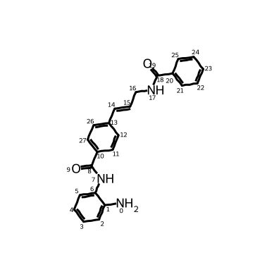 Nc1ccccc1NC(=O)c1ccc(C=CCNC(=O)c2ccccc2)cc1